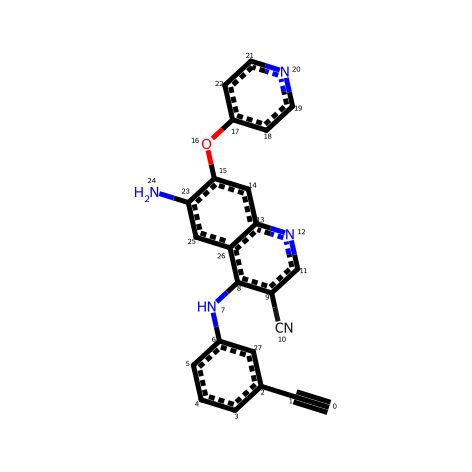 C#Cc1cccc(Nc2c(C#N)cnc3cc(Oc4ccncc4)c(N)cc23)c1